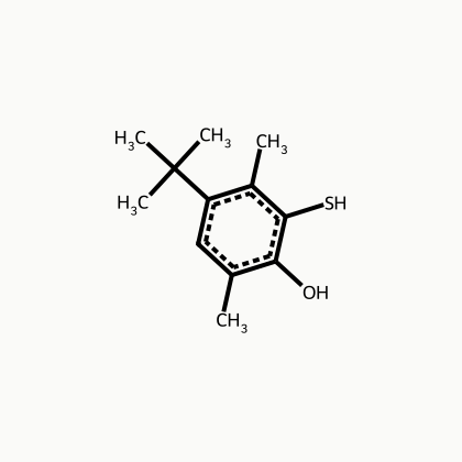 Cc1cc(C(C)(C)C)c(C)c(S)c1O